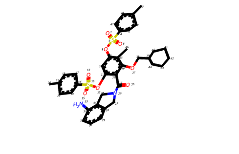 Cc1ccc(S(=O)(=O)Oc2cc(OS(=O)(=O)c3ccc(C)cc3)c(C(=O)N3Cc4cccc(N)c4C3)c(OCC3CCCCC3)c2C)cc1